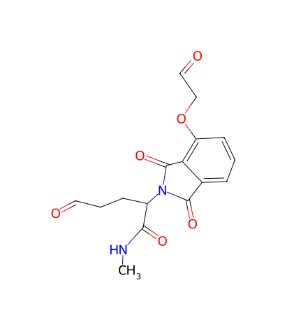 CNC(=O)C(CCC=O)N1C(=O)c2cccc(OCC=O)c2C1=O